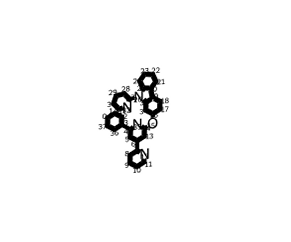 c1ccc(-c2cc(-c3ccccn3)cc(Oc3ccc4c5ccccc5n(-c5ccccn5)c4c3)n2)cc1